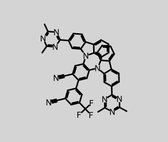 Cc1nc(C)nc(-c2ccc3c4ccccc4n(-c4cc(C#N)c(-c5cc(C#N)cc(C(F)(F)F)c5)cc4-n4c5ccccc5c5ccc(-c6nc(C)nc(C)n6)cc54)c3c2)n1